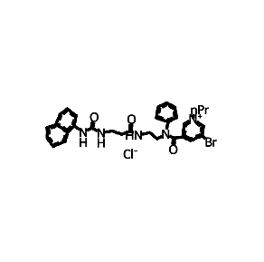 CCC[n+]1cc(Br)cc(C(=O)N(CCNC(=O)CCNC(=O)Nc2cccc3ccccc23)c2ccccc2)c1.[Cl-]